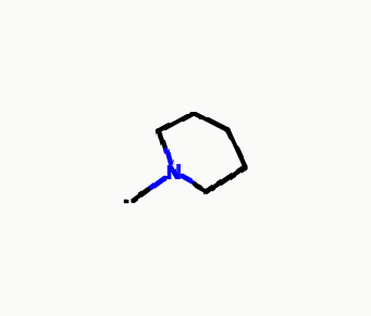 [CH2]N1CCCCC1